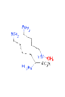 NCCCCC(N)C(=O)O.NCCCCNO